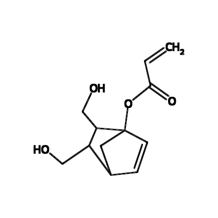 C=CC(=O)OC12C=CC(C1)C(CO)C2CO